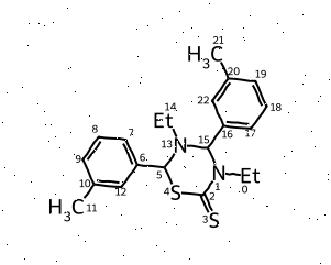 CCN1C(=S)SC(c2cccc(C)c2)N(CC)C1c1cccc(C)c1